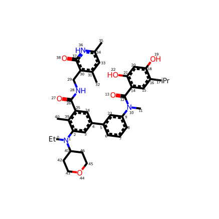 CCN(c1cc(-c2cccc(N(C)C(=O)c3cc(C(C)C)c(O)cc3O)c2)cc(C(=O)NCc2c(C)cc(C)[nH]c2=O)c1C)C1CCOCC1